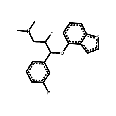 CN(C)CC(F)C(Oc1cccc2sccc12)c1cccc(F)c1